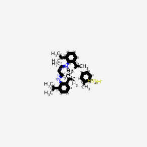 C/C(=C/C(C)=N/c1c(C(C)C)cccc1C(C)C)[N]([Ge])c1c(C(C)C)cccc1C(C)C.Cc1ccccc1.[SH-].[SH-]